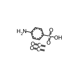 C=C=O.C=C=O.Nc1ccc(S(=O)(=O)O)cc1